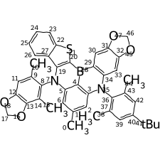 Cc1cc2c3c(c1)N(c1c(C)cc4c(c1C)OCO4)c1c(sc4ccccc14)B3c1cc3c(cc1N2c1c(C)cc(C(C)(C)C)cc1C)OCO3